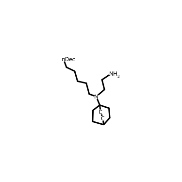 CCCCCCCCCCCCCCCN(CCN)C12CCC(CC1)CC2